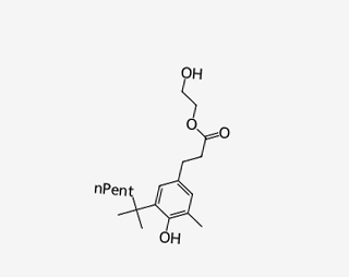 CCCCCC(C)(C)c1cc(CCC(=O)OCCO)cc(C)c1O